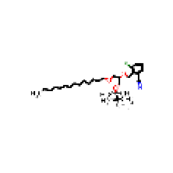 CCCCCCCCCCCCCCOCC(CO[Si](C)(C)C(C)(C)C)OCc1c(F)cccc1C#N